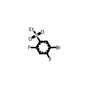 CCS(=O)(=O)c1cc(Br)c(F)cc1F